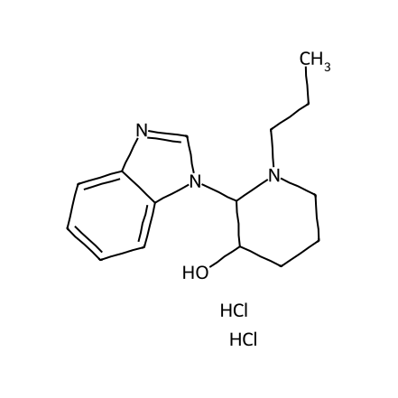 CCCN1CCCC(O)C1n1cnc2ccccc21.Cl.Cl